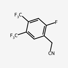 N#CCc1cc(C(F)(F)F)c(C(F)(F)F)cc1F